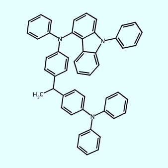 CC(c1ccc(N(c2ccccc2)c2ccccc2)cc1)c1ccc(N(c2ccccc2)c2cccc3c2c2ccccc2n3-c2ccccc2)cc1